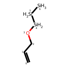 C=CCO[SiH2][SiH2][SiH3]